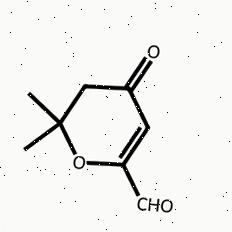 CC1(C)CC(=O)C=C(C=O)O1